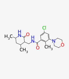 Cc1c(C(=O)NCC2C(=O)NC(C)CC2C)cc(Cl)cc1N1CCOCC1